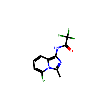 Cc1nc(NC(=O)C(F)(F)F)c2cccc(Br)n12